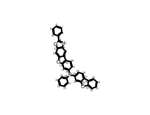 c1ccc(-c2nc3cc4c(cc3o2)oc2cc(N(c3ccccc3)c3ccc5c(c3)oc3ccccc35)ccc24)cc1